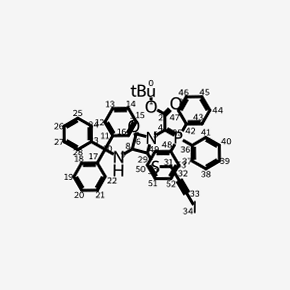 CC(C)(C)OC(=O)C(N1C(=O)C(NC(c2ccccc2)(c2ccccc2)c2ccccc2)C1SCC#CI)=P(c1ccccc1)(c1ccccc1)c1ccccc1